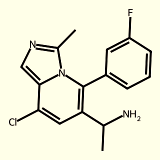 Cc1ncc2c(Cl)cc(C(C)N)c(-c3cccc(F)c3)n12